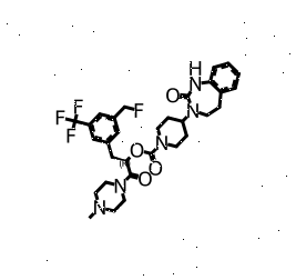 CN1CCN(C(=O)[C@@H](Cc2cc(CF)cc(C(F)(F)F)c2)OC(=O)N2CCC(N3CCc4ccccc4NC3=O)CC2)CC1